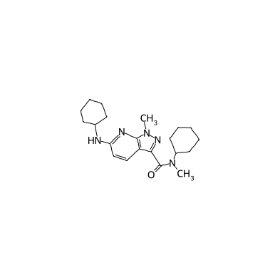 CN(C(=O)c1nn(C)c2nc(NC3CCCCC3)ccc12)C1CCCCC1